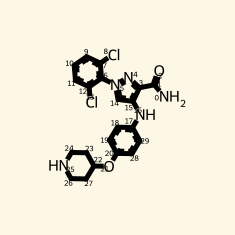 NC(=O)c1nn(-c2c(Cl)cccc2Cl)cc1Nc1ccc(OC2CCNCC2)cc1